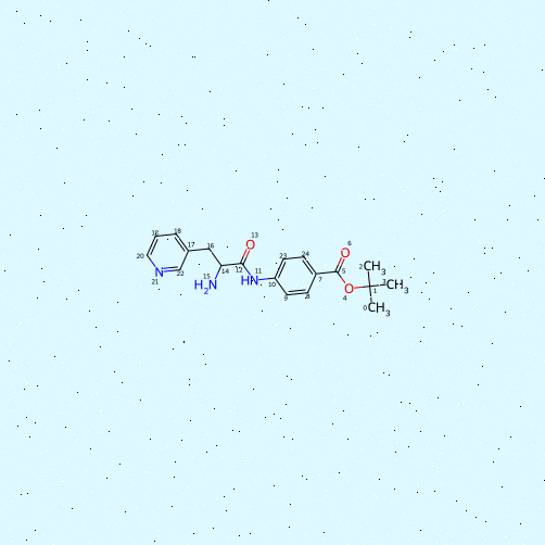 CC(C)(C)OC(=O)c1ccc(NC(=O)C(N)Cc2cccnc2)cc1